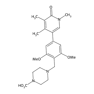 COc1cc(-c2cn(C)c(=O)c(C)c2C)cc(OC)c1CN1CCN(C(=O)O)CC1